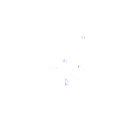 CC(C)OCCCNCC(O)C(Cc1ccccc1)NC(=O)OC(C)(C)C